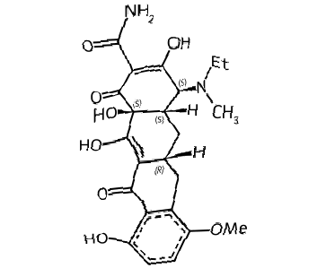 CCN(C)[C@@H]1C(O)=C(C(N)=O)C(=O)[C@@]2(O)C(O)=C3C(=O)c4c(O)ccc(OC)c4C[C@H]3C[C@@H]12